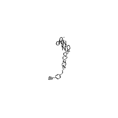 C[C@@]1(COc2ccc(N3CCN(CC=Cc4ccc(Br)cc4)CC3)cc2)Cn2cc([N+](=O)[O-])nc2O1